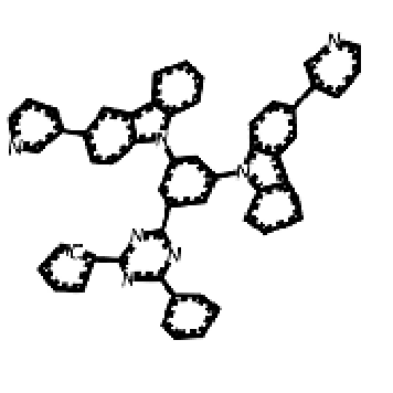 c1ccc(-c2nc(-c3ccccc3)nc(-c3cc(-n4c5ccccc5c5cc(-c6cccnc6)ccc54)cc(-n4c5ccccc5c5cc(-c6cccnc6)ccc54)c3)n2)cc1